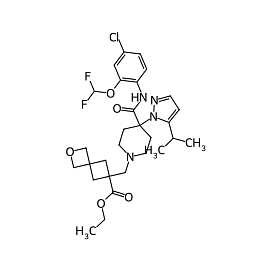 CCOC(=O)C1(CN2CCC(C(=O)Nc3ccc(Cl)cc3OC(F)F)(n3nccc3C(C)C)CC2)CC2(COC2)C1